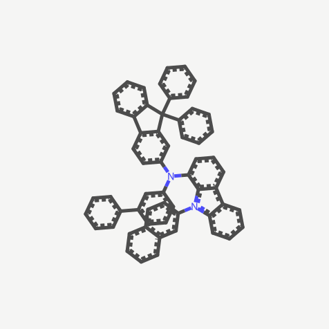 c1ccc(-c2cccc(N(c3ccc4c(c3)C(c3ccccc3)(c3ccccc3)c3ccccc3-4)c3cccc4c5ccccc5n(-c5ccc6ccccc6c5)c34)c2)cc1